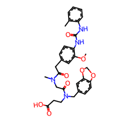 COc1cc(CC(=O)N(C)CC(=O)N(CCC(=O)O)Cc2ccc3c(c2)OCO3)ccc1NC(=O)Nc1ccccc1C